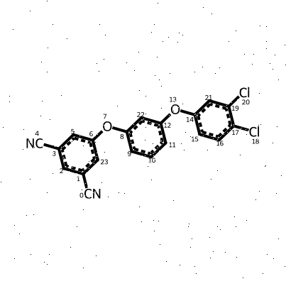 N#Cc1cc(C#N)cc(Oc2cccc(Oc3ccc(Cl)c(Cl)c3)c2)c1